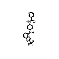 O=C(N[C@H]1CC[C@@H](Nc2cccc3nc(C(F)(F)F)cn23)CC1)c1cccnc1